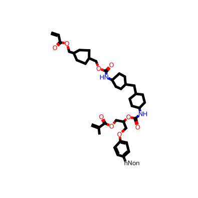 C=CC(=O)OCC1CCC(COC(=O)NC2CCC(CC3CCC(NC(=O)OC(COC(=O)C(=C)C)COc4ccc(CCCCCCCCC)cc4)CC3)CC2)CC1